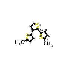 Cc1ccc(-c2ccsc2-c2ccc(C)s2)s1